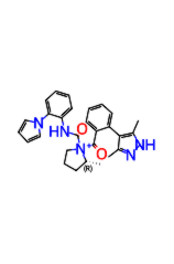 Cc1n[nH]c(C)c1-c1ccccc1C(=O)[N+]1(C(=O)Nc2ccccc2-n2cccc2)CCC[C@H]1C